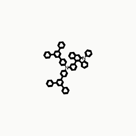 c1ccc(-c2cc(-c3ccccc3)cc(-c3ccc(N(c4ccc(-c5cc(-c6ccccc6)cc(-c6ccccc6)c5)cc4)c4cccc(-c5c6ccccc6cc6c5c5ccccc5n6-c5ccccc5)c4)cc3)c2)cc1